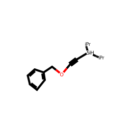 CC(C)[SiH](C#COCc1ccccc1)C(C)C